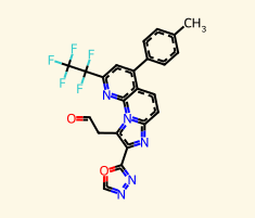 Cc1ccc(-c2cc(C(F)(F)C(F)(F)F)nc3c2ccc2nc(-c4nnco4)c(CC=O)n23)cc1